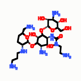 NCCCN[C@@H]1CC[C@@H](CN)O[C@@H]1OC1[C@@H](N)C[C@@H](NC(=O)N(O)CCN)[C@H](O[C@H]2O[C@H](CO)[C@@H](O)[C@H](N)[C@H]2O)[C@H]1O